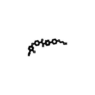 N#Cc1ccc(OC2CCC(C(=O)Nc3ccc(C4CCC(OCCO)CC4)nn3)CC2)cc1Cl